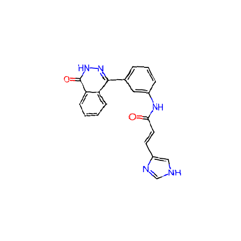 O=C(C=Cc1c[nH]cn1)Nc1cccc(-c2n[nH]c(=O)c3ccccc23)c1